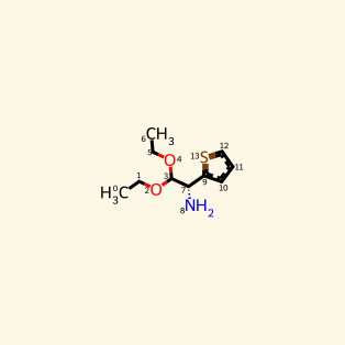 CCOC(OCC)[C@@H](N)c1cccs1